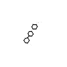 CCCCC[C@H]1CC[C@H](C2CCC(C3CCCC(C#N)C3)CC2)CC1